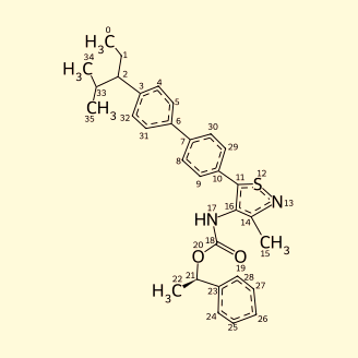 CCC(c1ccc(-c2ccc(-c3snc(C)c3NC(=O)O[C@H](C)c3ccccc3)cc2)cc1)C(C)C